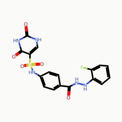 O=C(NNc1ccccc1F)c1ccc(NS(=O)(=O)c2c[nH]c(=O)[nH]c2=O)cc1